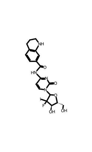 O=C(Nc1ccn(C2O[C@H](CO)[C@@H](O)C2(F)I)c(=O)n1)c1ccc2c(c1)NCCC2